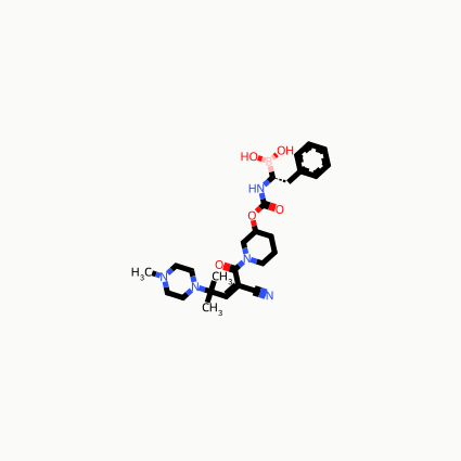 CN1CCN(C(C)(C)C=C(C#N)C(=O)N2CCCC(OC(=O)N[C@@H](Cc3ccccc3)B(O)O)C2)CC1